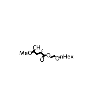 C=C(CCC(=O)OCCOCCCCCC)OC